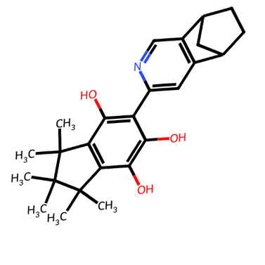 CC1(C)c2c(O)c(O)c(-c3cc4c(cn3)C3CCC4C3)c(O)c2C(C)(C)C1(C)C